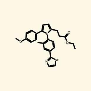 CCOC(=O)CCc1ccc(-c2ccc(OC)cc2)n1-c1ccc(-c2ncc[nH]2)cc1C